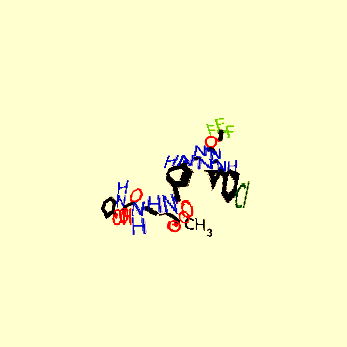 COC(=O)[C@H](CCNC(=O)C(=O)NC1CCCCC1O)NC(=O)c1ccc(Nc2nc(NC3(c4ccc(Cl)cc4)CC3)nc(OCC(F)(F)F)n2)cc1